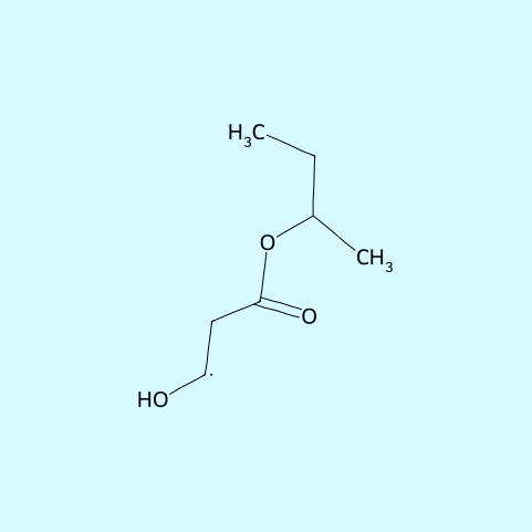 CCC(C)OC(=O)C[CH]O